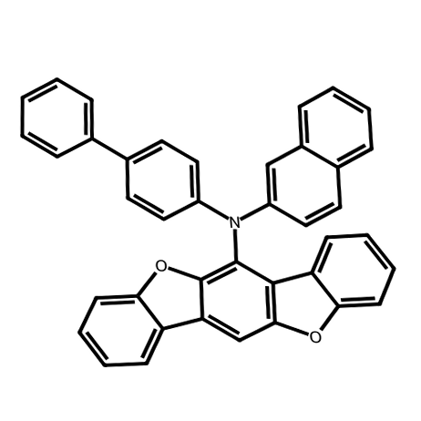 c1ccc(-c2ccc(N(c3ccc4ccccc4c3)c3c4oc5ccccc5c4cc4oc5ccccc5c34)cc2)cc1